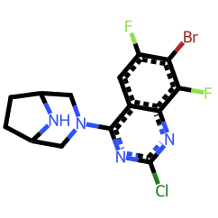 Fc1cc2c(N3CC4CCC(C3)N4)nc(Cl)nc2c(F)c1Br